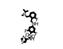 CC(C)N(C)Cc1cccc(F)c1CNc1cc(F)c(S(=O)(=O)Nc2cscn2)c(F)c1